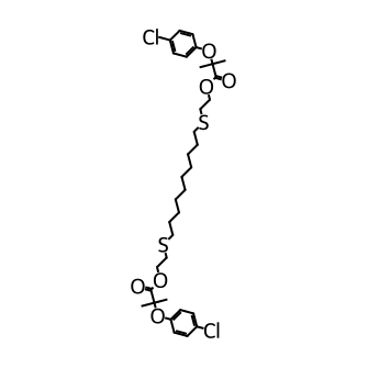 CC(C)(Oc1ccc(Cl)cc1)C(=O)OCCSCCCCCCCCCCSCCOC(=O)C(C)(C)Oc1ccc(Cl)cc1